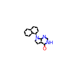 O=c1[nH]cnc2c1ccn2-c1cccc2ccccc12